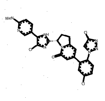 CNc1ccc(-c2[nH]c([C@@H]3CCc4cc(-c5cc(Cl)ccc5-n5cc(Cl)nn5)cc(=O)n43)nc2Cl)cn1